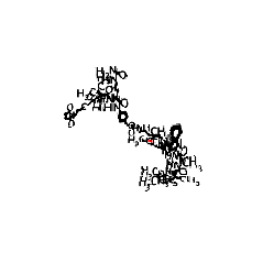 CCOCc1nc2c(NC(=O)[C@H](C)NC(=O)[C@@H](NC(=O)OC(C)(C)C)C(C)C)nc3ccccc3c2n1CC(C)(C)CCCNC(=O)OCc1ccc(NC(=O)[C@H](CCCNC(N)=O)NC(=O)[C@@H](NC(=O)CCCCCN2C(=O)C=CC2=O)C(C)C)cc1